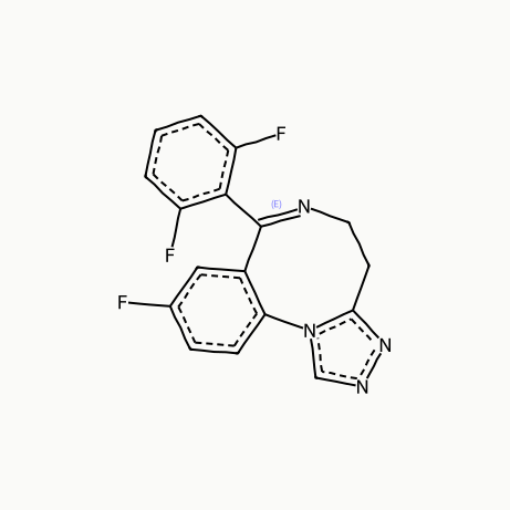 Fc1ccc2c(c1)/C(c1c(F)cccc1F)=N\CCc1nncn1-2